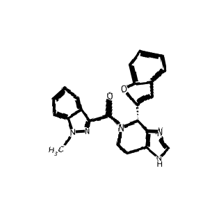 Cn1nc(C(=O)N2CCc3[nH]cnc3[C@H]2c2cc3ccccc3o2)c2ccccc21